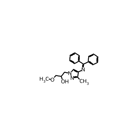 COCC(O)Cn1cc(N=C(c2ccccc2)c2ccccc2)c(C)n1